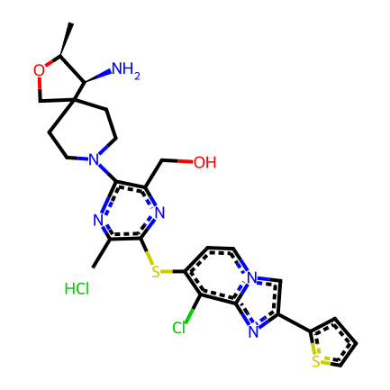 Cc1nc(N2CCC3(CC2)CO[C@@H](C)[C@H]3N)c(CO)nc1Sc1ccn2cc(-c3cccs3)nc2c1Cl.Cl